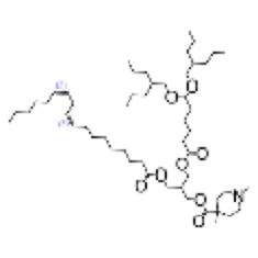 CCCCC/C=C\C/C=C\CCCCCCCC(=O)OCC(COC(=O)CCCCC(OCC(CCC)CCC)OCC(CCC)CCC)COC(=O)C1(C)CCN(C)CC1